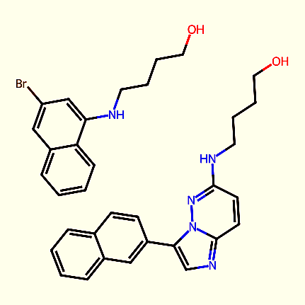 OCCCCNc1cc(Br)cc2ccccc12.OCCCCNc1ccc2ncc(-c3ccc4ccccc4c3)n2n1